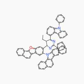 CCC1C(c2cccc3c2c2ccccc2n3-c2ccccc2)=NC(c2ccccc2)=NC1c1cc2oc3c4ccccc4ccc3c2cc1-n1c2cc3ccccc3cc2c2ccc3ccccc3c21